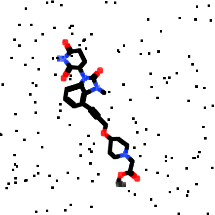 Cn1c(=O)n(C2CCC(=O)NC2=O)c2cccc(C#CCOC3CCN(CC(=O)OC(C)(C)C)CC3)c21